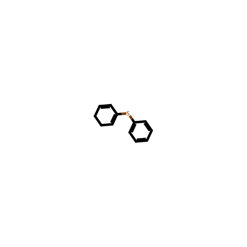 C1=CC(Sc2ccccc2)=CCC1